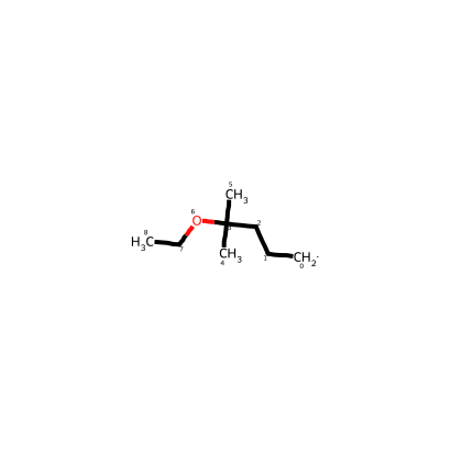 [CH2]CCC(C)(C)OCC